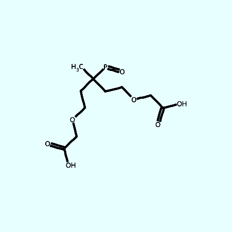 CC(CCOCC(=O)O)(CCOCC(=O)O)P=O